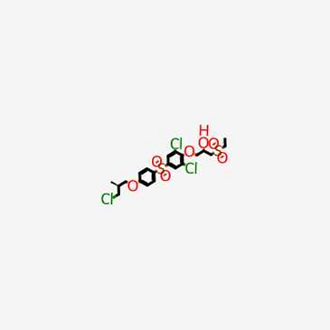 CCS(=O)(=O)C[C@H](O)COc1c(Cl)cc(S(=O)(=O)c2ccc(OC[C@H](C)CCl)cc2)cc1Cl